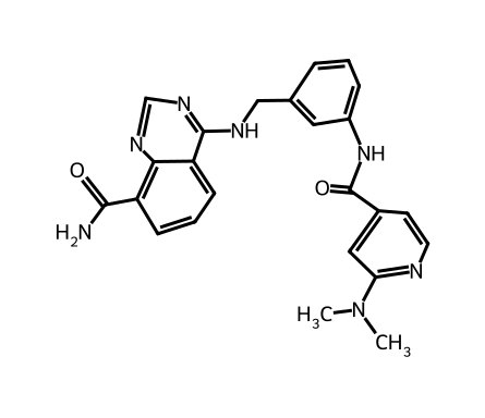 CN(C)c1cc(C(=O)Nc2cccc(CNc3ncnc4c(C(N)=O)cccc34)c2)ccn1